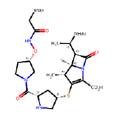 CNCC(=O)NO[C@H]1CCN(C(=O)[C@@H]2C[C@H](SC3=C(C(=O)O)N4C(=O)[C@H]([C@@H](C)NC(C)=O)[C@@H]4[C@H]3C)CN2)C1